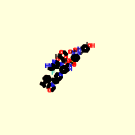 CC(C)c1ccccc1[C@@H]1COCCN1C1CC2(CCN(c3ccc(C(=O)NS(=O)(=O)c4ccc(NC[C@H]5CC[C@](C)(O)CC5)c([N+](=O)[O-])c4)c(N4C[C@@H]5OCCOC[C@H]5Oc5nc6[nH]cc(F)c6cc54)c3)CC2)C1